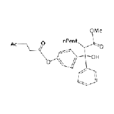 CCCCCC(C(=O)OC)C(O)(c1ccccc1)c1ccc(OC(=O)CCC(C)=O)cc1